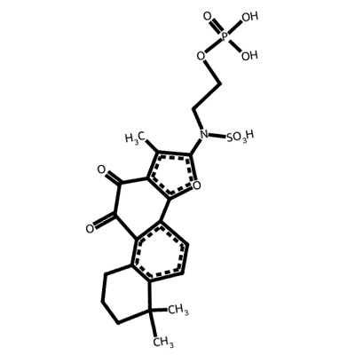 Cc1c(N(CCOP(=O)(O)O)S(=O)(=O)O)oc2c1C(=O)C(=O)c1c-2ccc2c1CCCC2(C)C